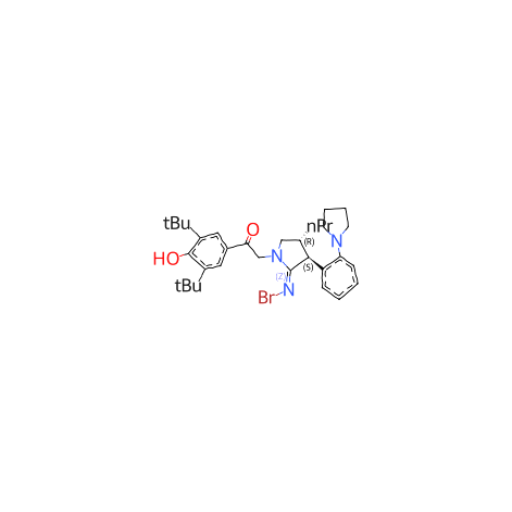 CCC[C@H]1CN(CC(=O)c2cc(C(C)(C)C)c(O)c(C(C)(C)C)c2)/C(=N\Br)[C@@H]1c1ccccc1N1CCCC1